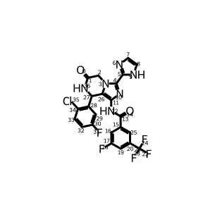 O=C1Cn2c(-c3ncc[nH]3)nc(NC(=O)c3cc(F)cc(C(F)(F)F)c3)c2C(c2cc(F)ccc2Cl)N1